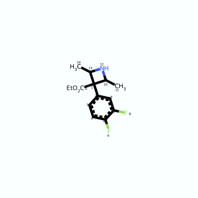 CCOC(=O)C1(c2ccc(F)c(F)c2)C(C)NC1C